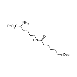 CCCCCCCCCCCCCCCC(=O)NCCCCC(N)C(=O)OCC